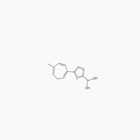 CC1=CCC=C(c2ccc(P(O)O)s2)C=C1